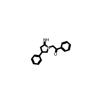 N=C1CC(c2ccccc2)CN1CC(=O)c1ccccc1